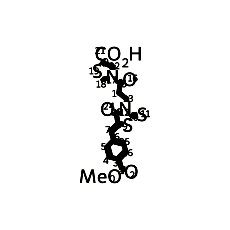 COC(=O)c1ccc(/C=C2\SC(=S)N(CCC(=O)N3CSC(C(=O)O)C3)C2=O)cc1